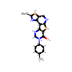 CSc1nc2c(cnc3sc4c(=O)n(-c5ccc(C)cc5)cnc4c32)s1